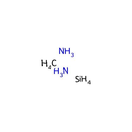 C.N.N.[SiH4]